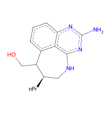 CCC[C@@H]1CNc2nc(N)nc3cccc(c23)C1CO